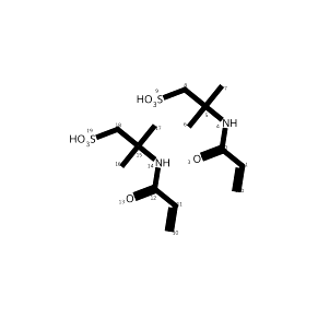 C=CC(=O)NC(C)(C)CS(=O)(=O)O.C=CC(=O)NC(C)(C)CS(=O)(=O)O